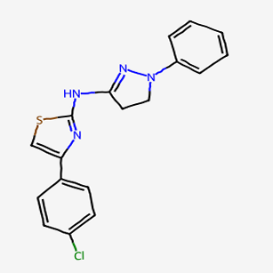 Clc1ccc(-c2csc(NC3=NN(c4ccccc4)CC3)n2)cc1